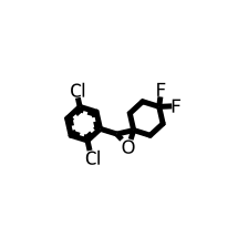 FC1(F)CCC2(CC1)OC2c1cc(Cl)ccc1Cl